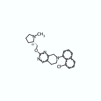 CN1CCC[C@H]1COc1n[c]c2c(n1)CN(c1cccc3cccc(Cl)c13)CC2